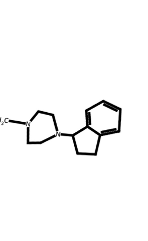 CN1CCN(C2CCc3ccccc32)CC1